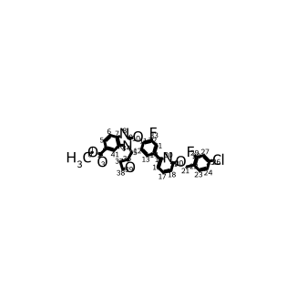 COC(=O)c1ccc2nc(Oc3ccc(-c4cccc(OCc5ccc(Cl)cc5F)n4)cc3F)n(CC3CCO3)c2c1